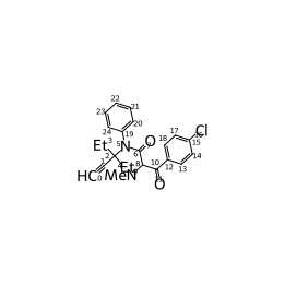 C#CC(CC)(CC)N(C(=O)C(NC)C(=O)c1ccc(Cl)cc1)c1ccccc1